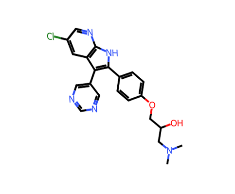 CN(C)CC(O)COc1ccc(-c2[nH]c3ncc(Cl)cc3c2-c2cncnc2)cc1